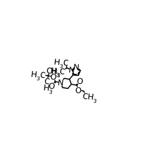 CCOC(=O)C1CCN(C(=O)OC(C)(C)C)CC1c1ccnn1C(C)C